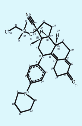 C[C@]12C[C@H](c3ccc(N4CCCCC4)cc3)C3=C4CCC(=O)C=C4CC[C@H]3[C@@H]1CC[C@@]2(C#N)O[Si](C)(C)CCl